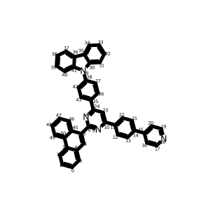 c1ccc2c(c1)cc(-c1nc(-c3ccc(-c4ccncc4)cc3)cc(-c3ccc(-n4c5ccccc5c5ccccc54)cc3)n1)c1ccccc12